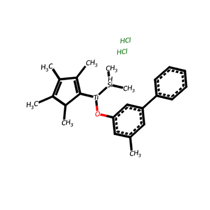 CC1=C(C)C(C)[C]([Ti]([O]c2cc(C)cc(-c3ccccc3)c2)[SiH](C)C)=C1C.Cl.Cl